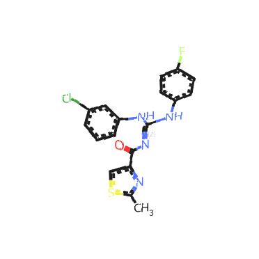 Cc1nc(C(=O)/N=C(/Nc2ccc(F)cc2)Nc2cccc(Cl)c2)cs1